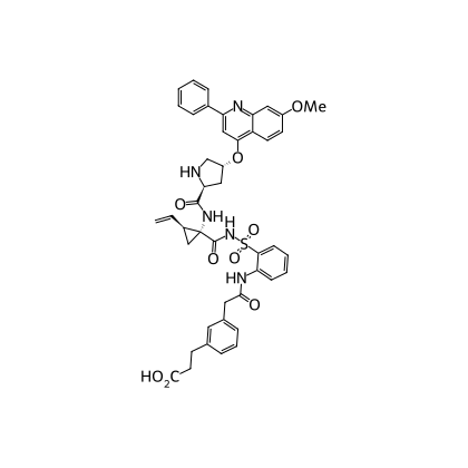 C=C[C@@H]1C[C@]1(NC(=O)[C@@H]1C[C@@H](Oc2cc(-c3ccccc3)nc3cc(OC)ccc23)CN1)C(=O)NS(=O)(=O)c1ccccc1NC(=O)Cc1cccc(CCC(=O)O)c1